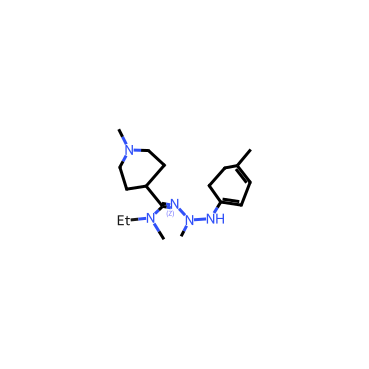 CCN(C)/C(=N\N(C)NC1=CC=C(C)CC1)C1CCN(C)CC1